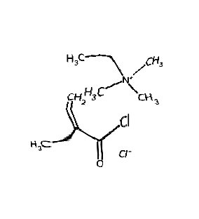 C=C(C)C(=O)Cl.CC[N+](C)(C)C.[Cl-]